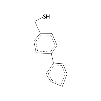 SCc1ccc(-c2ccccc2)cc1